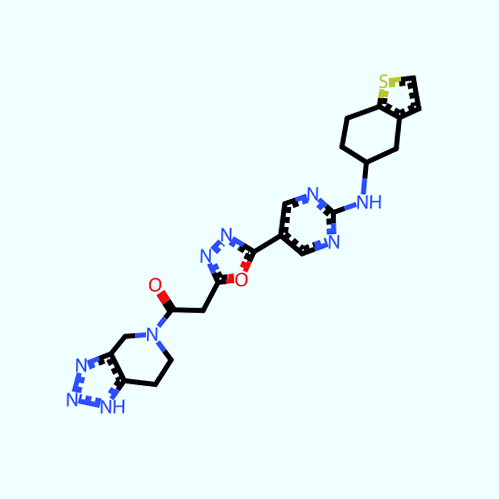 O=C(Cc1nnc(-c2cnc(NC3CCc4sccc4C3)nc2)o1)N1CCc2[nH]nnc2C1